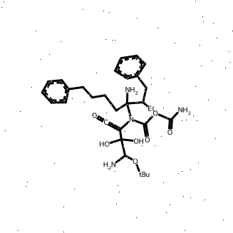 CCC(Cc1ccccc1)C(N)(CCCCc1ccccc1)N(C(=O)OC(N)=O)C(=C=O)C(O)(O)C(N)OC(C)(C)C